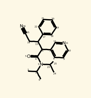 CC(C)N(C(=O)C(c1cccnc1)C(CC#N)c1ccccc1)C(C)C